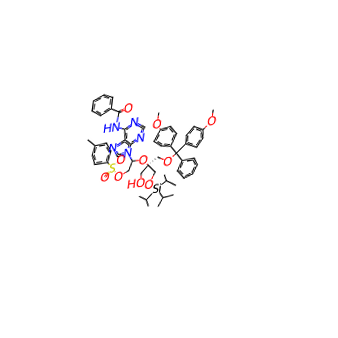 COc1ccc(C(OC[C@@](CO)(CO[Si](C(C)C)(C(C)C)C(C)C)OC(COS(=O)(=O)c2ccc(C)cc2)n2cnc3c(NC(=O)c4ccccc4)ncnc32)(c2ccccc2)c2ccc(OC)cc2)cc1